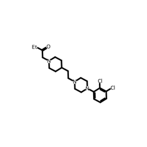 CCC(=O)CN1CCC(CCN2CCN(c3cccc(Cl)c3Cl)CC2)CC1